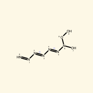 N=N/N=N/N=N/N(O)OO